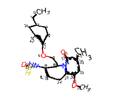 CCC1CCC(OCC2C(N[SH]=O)CCc3c(OC)cc(C)c(=O)n32)CC1